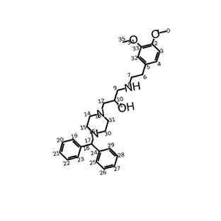 COc1ccc(CCNCC(O)CN2CCN(C(c3ccccc3)c3ccccc3)CC2)cc1OC